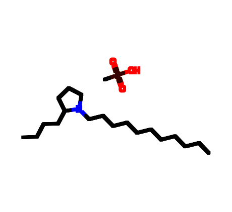 CCCCCCCCCCCN1CCCC1CCCC.CS(=O)(=O)O